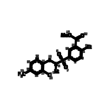 CCc1ccc(S(=O)(=O)N(CC)Sc2ncc(C(F)(F)F)cc2Cl)cc1C(=O)OC